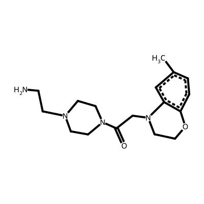 Cc1ccc2c(c1)N(CC(=O)N1CCN(CCN)CC1)CCO2